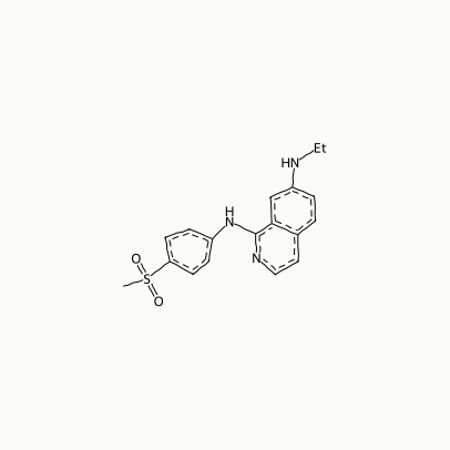 CCNc1ccc2ccnc(Nc3ccc(S(C)(=O)=O)cc3)c2c1